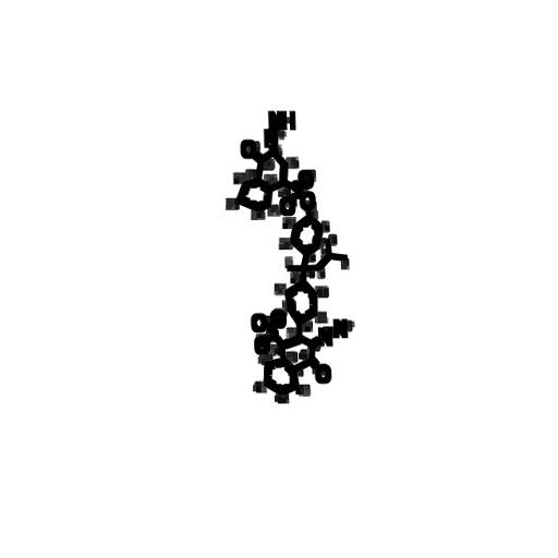 CC(C)CC(C)(c1ccc(OS(=O)(=O)C2=CC(=[N+]=N)C(=O)c3ccccc32)cc1)c1ccc(C2=C(S(=O)(=O)[O-])c3ccccc3C(=O)C2=[N+]=[N-])cc1